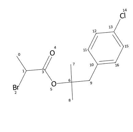 CC(Br)C(=O)OC(C)(C)Cc1ccc(Cl)cc1